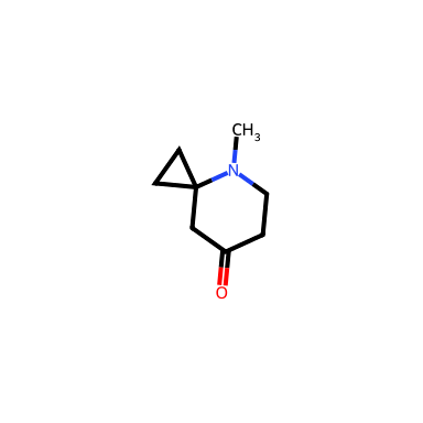 CN1CCC(=O)CC12CC2